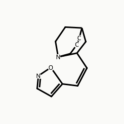 C(=C/C1CC2CCCN1CC2)/c1ccno1